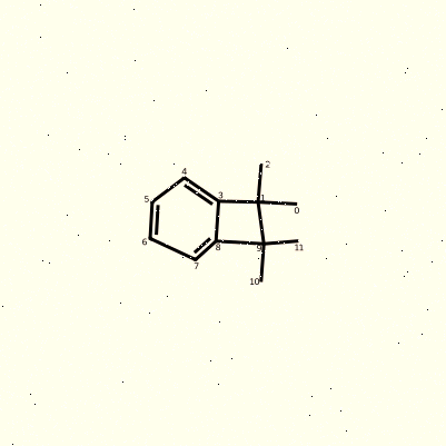 CC1(C)c2ccccc2C1(C)C